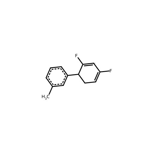 Cc1cccc(C2CC=C(F)[C]=C2F)c1